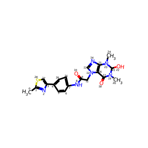 Cc1nc(-c2ccc(NC(=O)Cn3cnc4c3C(=O)N(C)C(O)N4C)cc2)cs1